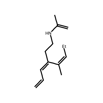 C=C/C=C(CCNC(=C)C)\C(C)=C/CC